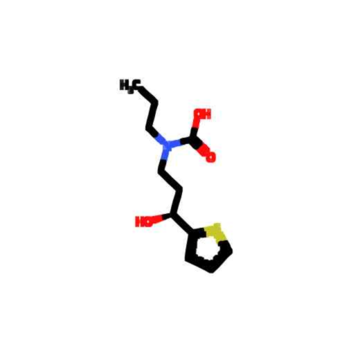 CCCN(CC[C@H](O)c1cccs1)C(=O)O